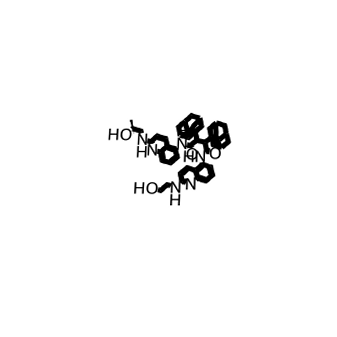 C[C@H](O)CNc1ccc2c(NC(=O)C(C(C(=O)Nc3cccc4nc(NCCO)ccc34)C34CC5CC(CC(C5)C3)C4)C34CC5CC(CC(C5)C3)C4)cccc2n1